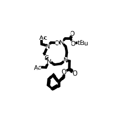 CC(=O)CN1CCN(CC(C)=O)CCN(CC(=O)OC(C)(C)C)CCN(CC(=O)OCc2ccccc2)CC1